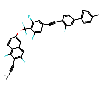 Cc1ccc(-c2ccc(C#Cc3cc(F)c(C(F)(F)Oc4ccc5c(F)c(C#CC(F)(F)F)c(F)cc5c4)c(F)c3)c(F)c2)cc1